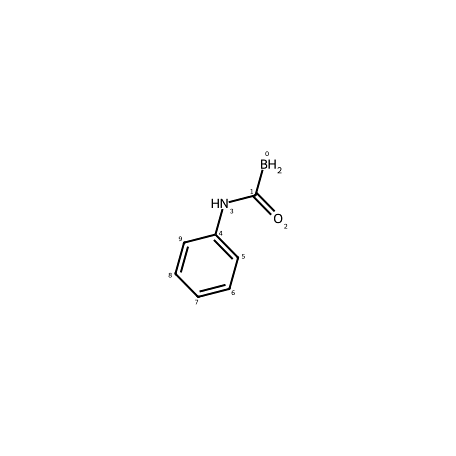 BC(=O)Nc1ccccc1